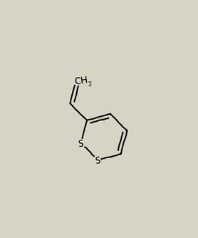 C=CC1=CC=CSS1